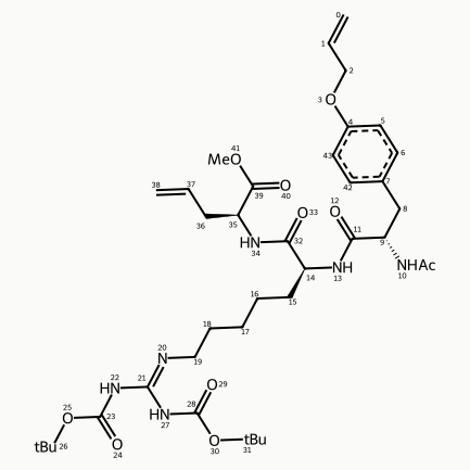 C=CCOc1ccc(C[C@H](NC(C)=O)C(=O)N[C@@H](CCCCCN=C(NC(=O)OC(C)(C)C)NC(=O)OC(C)(C)C)C(=O)N[C@@H](CC=C)C(=O)OC)cc1